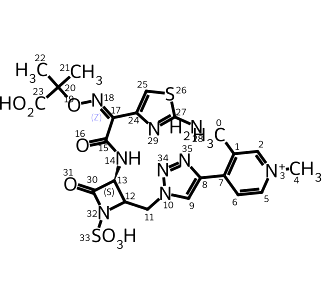 Cc1c[n+](C)ccc1-c1cn(CC2[C@H](NC(=O)/C(=N\OC(C)(C)C(=O)O)c3csc(N)n3)C(=O)N2S(=O)(=O)O)nn1